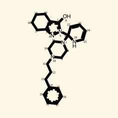 Oc1c2c(nn1C1(N3CCN(CCCc4ccccc4)CC3)C=CC=CN1)CCCC2